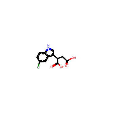 O=C(O)CC(C(=O)O)c1c[nH]c2ccc(Cl)cc12